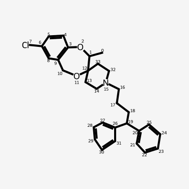 CC1Oc2ccc(Cl)cc2COC12CCN(CCCC(c1ccccc1)c1ccccc1)CC2